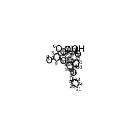 COc1cc(OC)c2c(c1)OC1(c3ccc(OCc4ccccc4)cc3)[C@H](c3ccccc3)[C@@H](C(=O)O)[C@@H](O)[C@@]21O